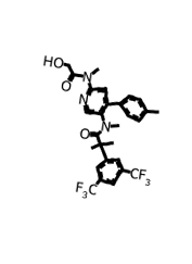 Cc1ccc(-c2cc(N(C)C(=O)CO)ncc2N(C)C(=O)C(C)(C)c2cc(C(F)(F)F)cc(C(F)(F)F)c2)cc1